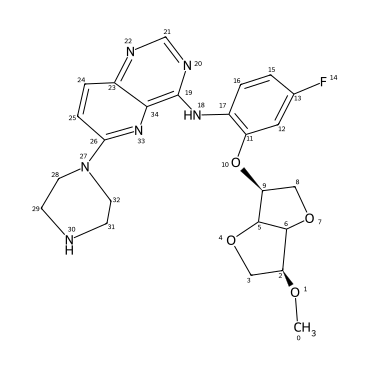 CO[C@H]1COC2C1OC[C@@H]2Oc1cc(F)ccc1Nc1ncnc2ccc(N3CCNCC3)nc12